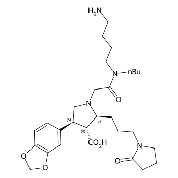 CCCCN(CCCCN)C(=O)CN1C[C@H](c2ccc3c(c2)OCO3)[C@@H](C(=O)O)[C@@H]1CCCN1CCCC1=O